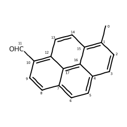 Cc1ccc2ccc3ccc(C=O)c4ccc1c2c34